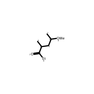 CCC(=O)C(C)CC(C)OC